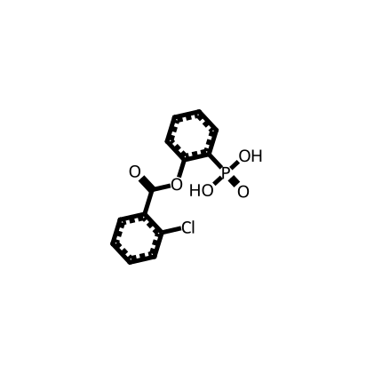 O=C(Oc1ccccc1P(=O)(O)O)c1ccccc1Cl